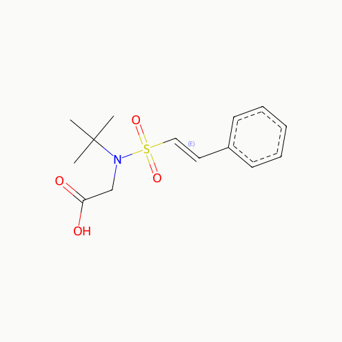 CC(C)(C)N(CC(=O)O)S(=O)(=O)/C=C/c1ccccc1